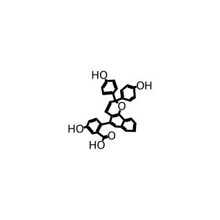 O=C(O)c1cc(O)ccc1-c1cc2ccccc2c2c1C=CC(c1ccc(O)cc1)(c1ccc(O)cc1)O2